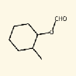 CC1CCCCC1OC=O